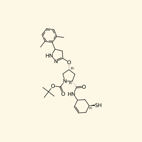 Cc1cccc(C)c1C1CC(O[C@@H]2C[C@H](C(=O)NC3C=CC[C@H](S)C3)N(C(=O)OC(C)(C)C)C2)=NN1